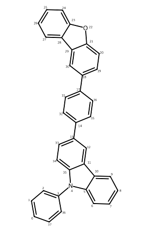 c1ccc(-n2c3ccccc3c3cc(-c4ccc(-c5ccc6oc7ccccc7c6c5)cc4)ccc32)cc1